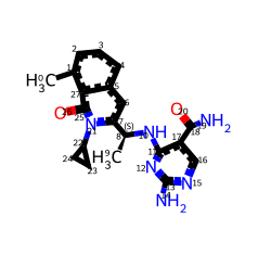 Cc1cccc2cc([C@H](C)Nc3nc(N)ncc3C(N)=O)n(C3CC3)c(=O)c12